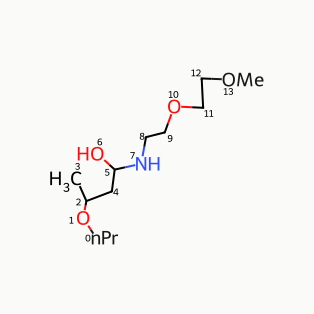 CCCOC(C)CC(O)NCCOCCOC